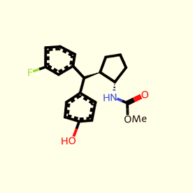 COC(=O)N[C@H]1CCC[C@@H]1C(c1ccc(O)cc1)c1cccc(F)c1